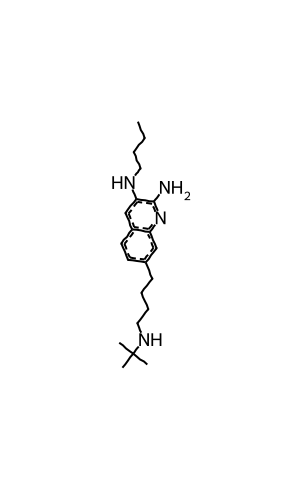 CCCCNc1cc2ccc(CCCCNC(C)(C)C)cc2nc1N